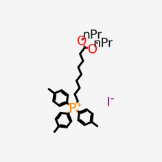 CCCOC(CCCCCCCC[P+](c1ccc(C)cc1)(c1ccc(C)cc1)c1ccc(C)cc1)OCCC.[I-]